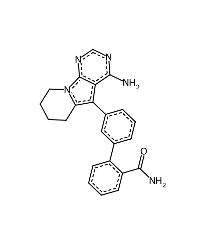 NC(=O)c1ccccc1-c1cccc(-c2c3n(c4ncnc(N)c24)CCCC3)c1